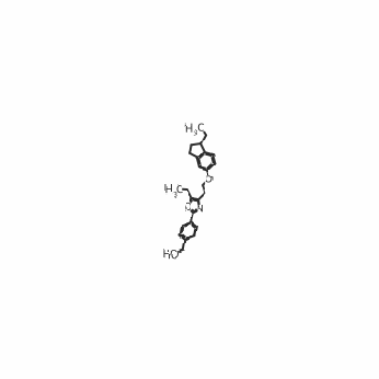 CCc1oc(-c2ccc(CO)cc2)nc1CCOc1ccc2c(c1)CCC2CC